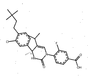 CC(C)C1=CN(c2ccc(C(=O)O)cc2F)C(=O)N[C@@]1(C)c1ccc(CCC(C)(C)C)c(Cl)c1